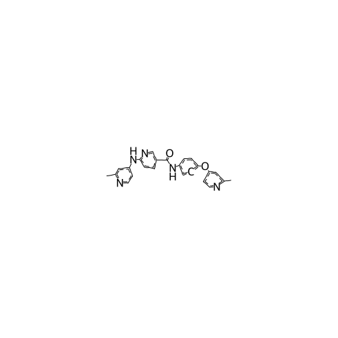 Cc1cc(Nc2ccc(C(=O)Nc3ccc(Oc4ccnc(C)c4)cc3)cn2)ccn1